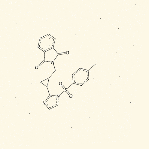 Cc1ccc(S(=O)(=O)n2ccnc2C2CC2CN2C(=O)c3ccccc3C2=O)cc1